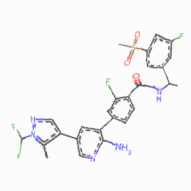 Cc1c(-c2cnc(N)c(-c3ccc(C(=O)NC(C)c4cc(F)cc(S(C)(=O)=O)c4)c(F)c3)c2)cnn1C(F)F